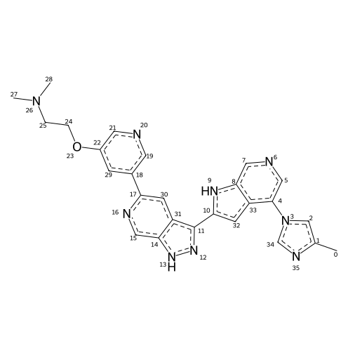 Cc1cn(-c2cncc3[nH]c(-c4n[nH]c5cnc(-c6cncc(OCCN(C)C)c6)cc45)cc23)cn1